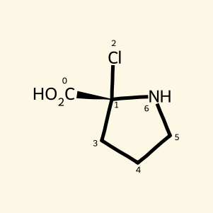 O=C(O)[C@]1(Cl)CCCN1